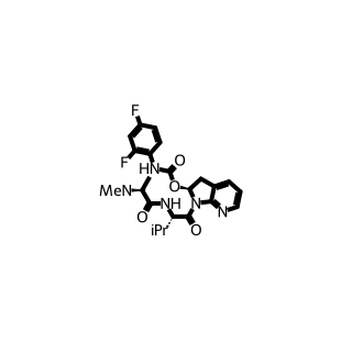 CN[C@@H](C)C(=O)N[C@H](C(=O)N1c2ncccc2C[C@@H]1OC(=O)Nc1ccc(F)cc1F)C(C)C